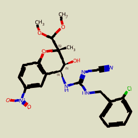 COC(OC)[C@@]1(C)Oc2ccc([N+](=O)[O-])cc2[C@H](NC(=NC#N)NCc2ccccc2Cl)[C@@H]1O